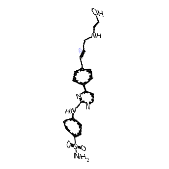 NS(=O)(=O)c1ccc(Nc2nccc(-c3ccc(/C=C/CNCCO)cc3)n2)cc1